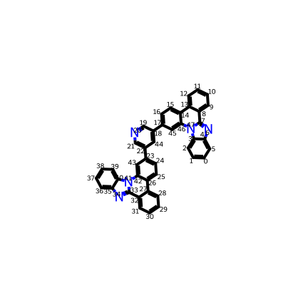 c1ccc2c(c1)nc1c3ccccc3c3ccc(-c4cncc(-c5ccc6c7ccccc7c7nc8ccccc8n7c6c5)c4)cc3n21